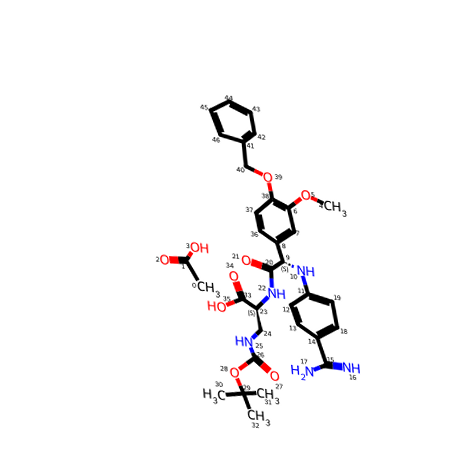 CC(=O)O.COc1cc([C@H](Nc2ccc(C(=N)N)cc2)C(=O)N[C@@H](CNC(=O)OC(C)(C)C)C(=O)O)ccc1OCc1ccccc1